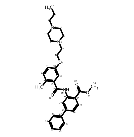 CCCN1CCN(CCOc2ccc(C)c(C(=O)Nc3cc(-c4ccccc4)ccc3C(=O)OC)c2)CC1